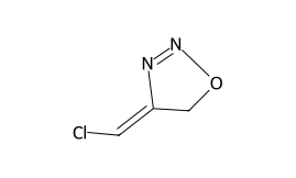 ClC=C1CON=N1